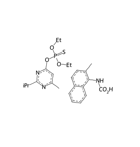 CCOP(=S)(OCC)Oc1cc(C)nc(C(C)C)n1.Cc1ccc2ccccc2c1NC(=O)O